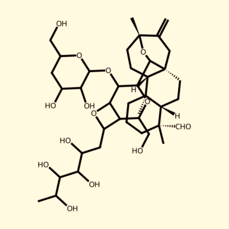 C=C1C[C@@]23CC[C@H]4[C@@](C)(CCC[C@@]4(C)C=O)[C@@H]2CC[C@@]1(C)OC3C1OC(CO)C2C(CC(O)C(O)C(O)C(C)O)OC2C1OC1OC(CO)CC(O)C1O